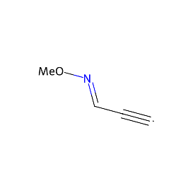 [C]#CC=NOC